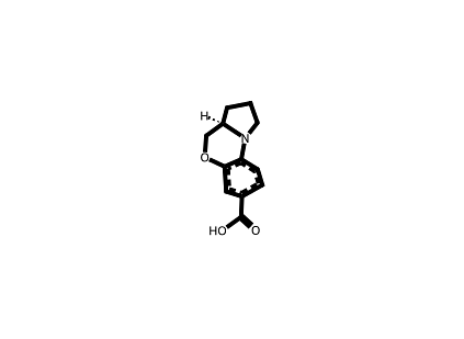 O=C(O)c1ccc2c(c1)OC[C@H]1CCCN21